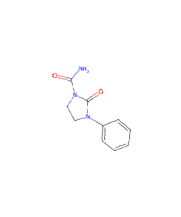 NC(=O)N1CCN(c2ccccc2)C1=O